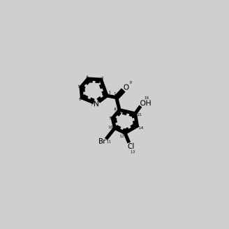 O=C(c1ccccn1)c1cc(Br)c(Cl)cc1O